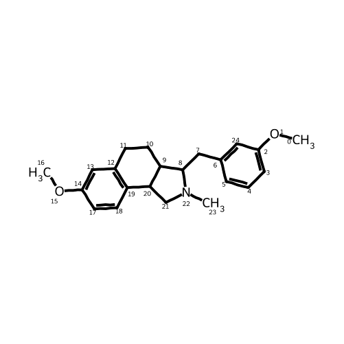 COc1cccc(CC2C3CCc4cc(OC)ccc4C3CN2C)c1